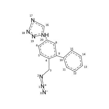 [N-]=[N+]=NCc1ccccc1-c1ccccc1.c1nnn[nH]1